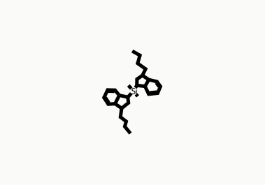 CCCCC1CC([Si](C)(C)C2CC(CCCC)C3C=CC=CC32)C2C=CC=CC12